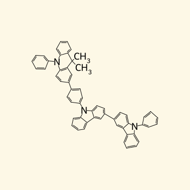 CC1(C)c2ccccc2N(c2ccccc2)c2ccc(-c3ccc(-n4c5ccccc5c5cc(-c6ccc7c(c6)c6ccccc6n7-c6ccccc6)ccc54)cc3)cc21